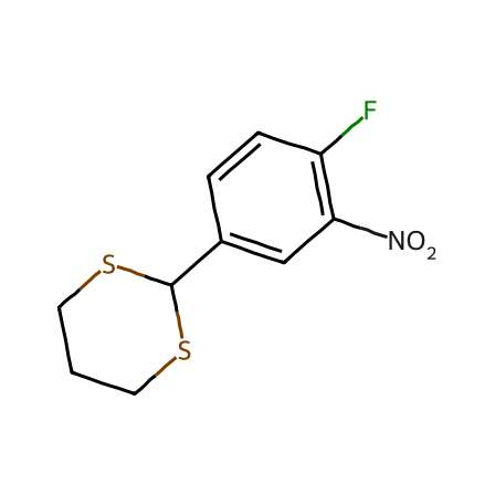 O=[N+]([O-])c1cc(C2SCCCS2)ccc1F